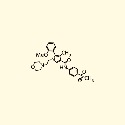 COc1ccccc1-c1c(C)c(C(=O)Nc2ccc(S(C)(=O)=O)cc2)cn1CCN1CCOCC1